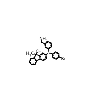 CC1(C)c2ccccc2-c2ccc(N(c3ccc(Br)cc3)c3cccc(CN)c3)cc21